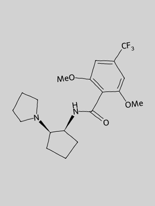 COc1cc(C(F)(F)F)cc(OC)c1C(=O)N[C@H]1CCC[C@H]1N1CCCC1